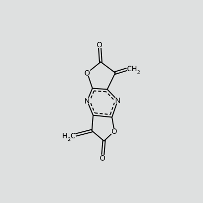 C=C1C(=O)Oc2nc3c(nc21)OC(=O)C3=C